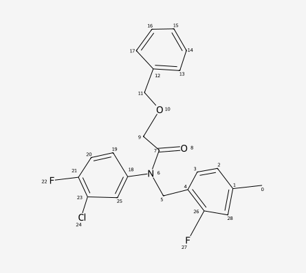 Cc1ccc(CN(C(=O)COCc2ccccc2)c2ccc(F)c(Cl)c2)c(F)c1